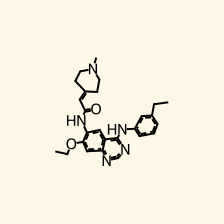 CCOc1cc2ncnc(Nc3cccc(CC)c3)c2cc1NC(=O)C=C1CCN(C)CC1